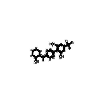 Cc1cc(C(F)(F)F)cc(O)c1-c1cnc(NC2CCCCC2O)nn1